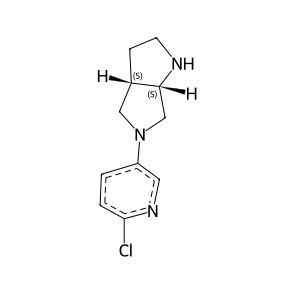 Clc1ccc(N2C[C@@H]3CCN[C@@H]3C2)cn1